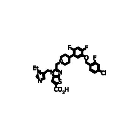 CCn1cncc1Cn1c(CN2CCC(c3cc(OCc4ccc(Cl)cc4F)c(F)cc3F)CC2)nc2sc(C(=O)O)cc21